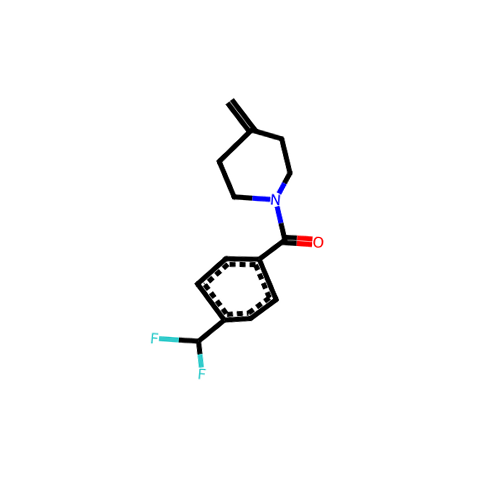 C=C1CCN(C(=O)c2ccc(C(F)F)cc2)CC1